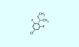 CSC(C)c1c(F)cc(Cl)cc1F